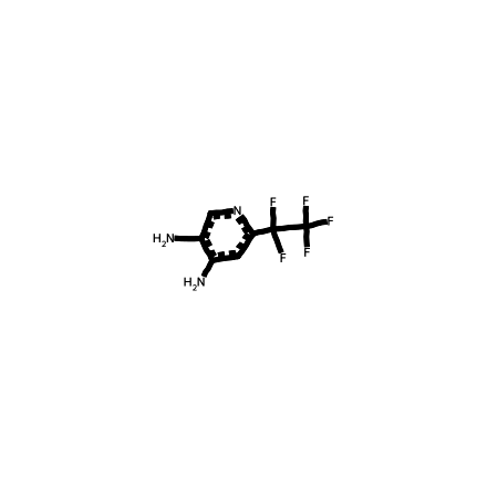 Nc1cnc(C(F)(F)C(F)(F)F)cc1N